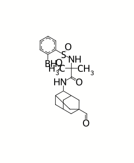 Bc1ccccc1S(=O)(=O)NC(C)(C)C(=O)NC1C2CC3CC1CC(C=O)(C3)C2